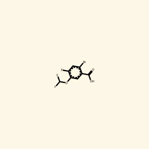 O=C(O)c1cc(OC(F)F)c(F)cc1Br